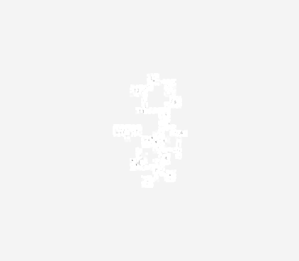 CC(C)(C#N)[C@H]1CC[C@@H](C2CCCCC2)N1.Cl